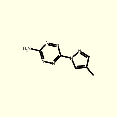 Cc1cnn(-c2nnc(N)nn2)c1